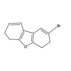 BrC1=Cc2c(oc3c2C=CCC3)CC1